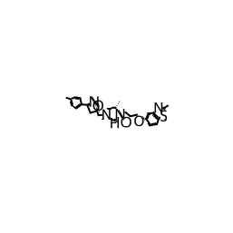 Cc1ccc(C2=NOC(CN3CCN(C[C@@H](O)COc4ccc5sc(C)nc5c4)[C@@H](C)C3)C2)cc1